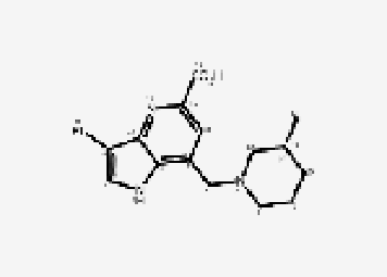 CCc1c[nH]c2c(CN3CCC[C@H](C)C3)cc(C(=O)O)nc12